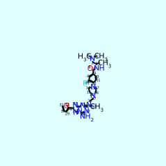 CC(CN(C)C)NC(=O)c1ccc(N2CCN(CCN(C)c3nc(N)n4nc(-c5ccco5)nc4n3)CC2)c(F)c1